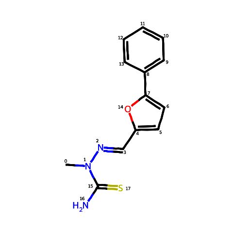 CN(N=Cc1ccc(-c2ccccc2)o1)C(N)=S